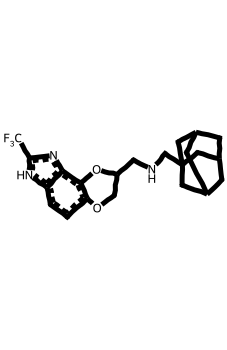 FC(F)(F)c1nc2c3c(ccc2[nH]1)OCC(CNCC12CC4CC(CC(C4)C1)C2)O3